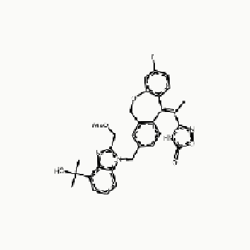 COCc1nc2c(C(C)(C)O)cccc2n1Cc1ccc2c(c1)COc1cc(F)ccc1/C2=C(\C)c1noc(=O)[nH]1